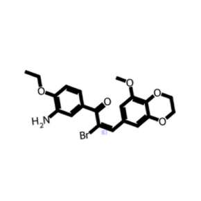 CCOc1ccc(C(=O)/C(Br)=C\c2cc(OC)c3c(c2)OCCO3)cc1N